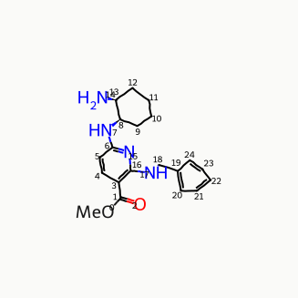 COC(=O)c1ccc(N[C@@H]2CCCC[C@@H]2N)nc1NCc1ccccc1